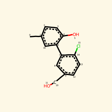 Cc1ccc(O)c(-c2cc(CO)ccc2Cl)c1